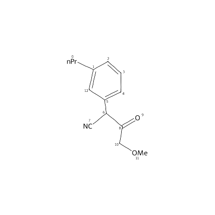 CCCc1cccc(C(C#N)C(=O)COC)c1